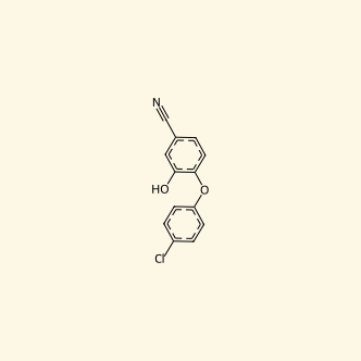 N#Cc1ccc(Oc2ccc(Cl)cc2)c(O)c1